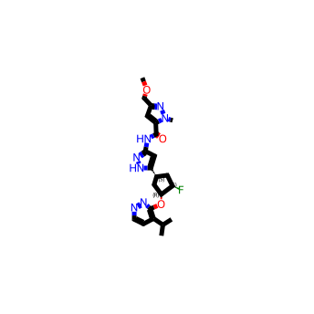 COCc1cc(C(=O)Nc2cc([C@@H]3C[C@H](F)[C@H](Oc4nnccc4C(C)C)C3)[nH]n2)n(C)n1